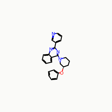 c1ccc(O[C@@H]2CCCN(c3nc(-c4cccnc4)nc4ccccc34)C2)cc1